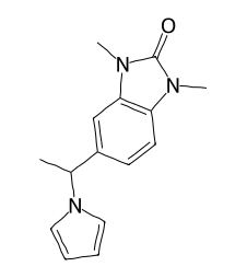 CC(c1ccc2c(c1)n(C)c(=O)n2C)n1cccc1